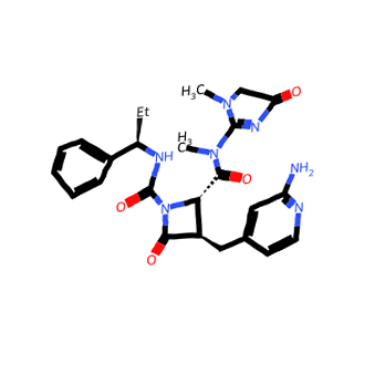 CC[C@@H](NC(=O)N1C(=O)[C@H](Cc2ccnc(N)c2)[C@H]1C(=O)N(C)C1=NC(=O)CN1C)c1ccccc1